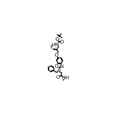 CNC(=O)CN(Cc1ccccc1)c1nc2ccc(OCC(=CF)CNC(=O)OC(C)(C)C)cc2o1